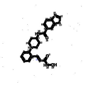 O=C(/C=C/c1ccccc1N1CCC(NC(=O)c2ccc3ncsc3c2)CC1)NO